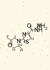 CC1CN(c2nc(C(=O)NN)cs2)C(C)CO1